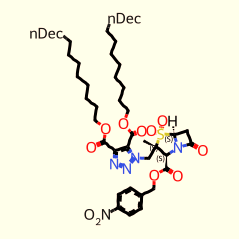 CCCCCCCCCCCCCCCCCCOC(=O)c1nnn(C[C@@]2(C)[C@H](C(=O)OCc3ccc([N+](=O)[O-])cc3)N3C(=O)C[C@@H]3S2(=O)=O)c1C(=O)OCCCCCCCCCCCCCCCCCC